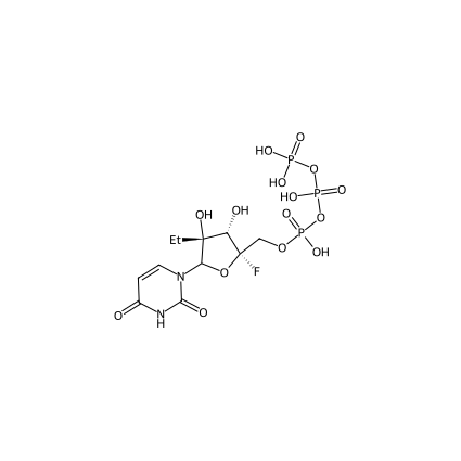 CC[C@]1(O)C(n2ccc(=O)[nH]c2=O)O[C@](F)(COP(=O)(O)OP(=O)(O)OP(=O)(O)O)[C@H]1O